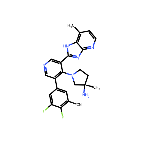 Cc1ccnc2nc(-c3cncc(-c4cc(F)c(F)c(C#N)c4)c3N3CC[C@](C)(N)C3)[nH]c12